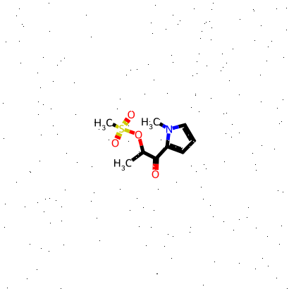 CC(OS(C)(=O)=O)C(=O)c1cccn1C